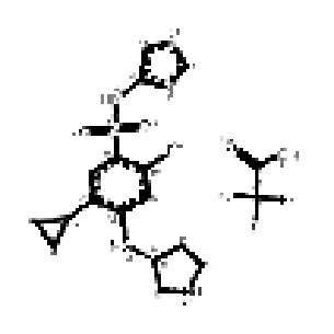 O=C(O)C(F)(F)F.O=S(=O)(Nc1cscn1)c1cc(C2CC2)c(N[C@H]2CCNC2)cc1F